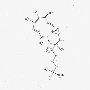 CC[C@]1(C)/C2=C/C=C/C(C)=C(/O)C(=O)/C=C/[C@]2(C)CC[C@@]1(C)C(C)CCCC(C)(C)NC(C)=O